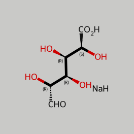 O=C[C@H](O)[C@H](O)[C@@H](O)[C@H](O)C(=O)O.[NaH]